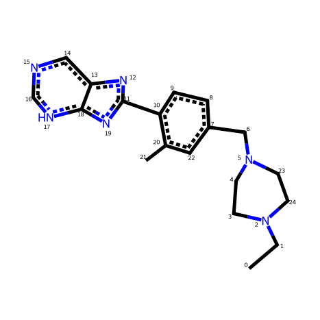 CCN1CCN(Cc2ccc(-c3nc4cnc[nH]c-4n3)c(C)c2)CC1